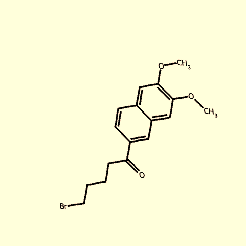 COc1cc2ccc(C(=O)CCCCBr)cc2cc1OC